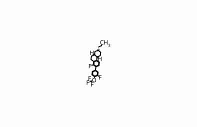 CCC[C@@H]1CC[C@@H]2c3ccc(-c4ccc(OC(F)(F)F)c(F)c4)c(F)c3CC[C@@H]2C1